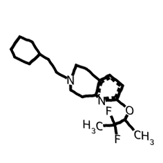 CC(Oc1ccc2c(n1)CCN(CCC1CCCCC1)CC2)C(C)(F)F